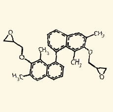 Cc1cc2cccc(-c3cccc4cc(C)c(OCC5CO5)c(C)c34)c2c(C)c1OCC1CO1